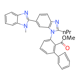 CCCc1nc2ccc(-c3nc4ccccc4n3C)cc2n1-c1cccc(-c2ccccc2)c1C(=O)OC